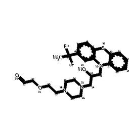 CC(F)(F)c1ccc2c(c1)N(CC(O)CN1CCN(CCOCC=O)CC1)c1ccccc1S2